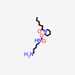 CCCCCC(=O)N1CCCC[C@@H]1OC(=O)NCCCCCN